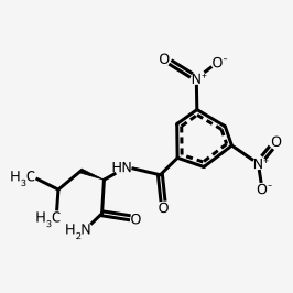 CC(C)C[C@@H](NC(=O)c1cc([N+](=O)[O-])cc([N+](=O)[O-])c1)C(N)=O